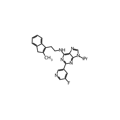 CC1=C(CCNc2nc(-c3cncc(F)c3)nc3c2ncn3C(C)C)c2ccccc2C1